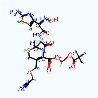 CC(C)(C)C(=O)OCOC(=O)C1=C(CSCC#N)CS[C@@H]2[C@H](NC(=O)/C(=N\O)c3csc(N)n3)C(=O)N12